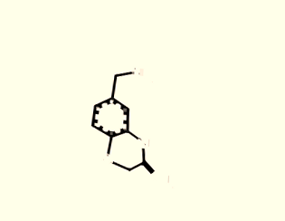 C=C1COc2ccc(CN)cc2N1